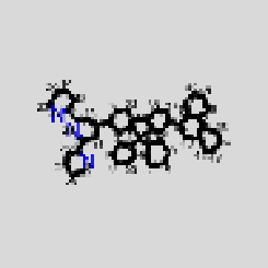 c1ccc(C2(c3ccccc3)c3cc(-c4cc(-c5ccccn5)nc(-c5ccccn5)c4)ccc3-c3ccc(-c4cc5ccccc5c5ccccc45)cc32)cc1